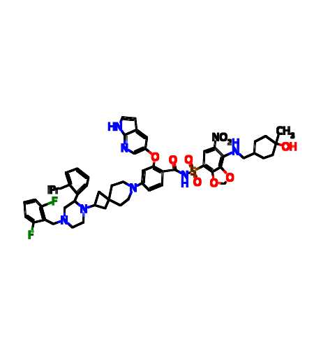 CC(C)c1ccccc1C1CN(Cc2c(F)cccc2F)CCN1C1CC2(CCN(c3ccc(C(=O)NS(=O)(=O)c4cc([N+](=O)[O-])c(NCC5CCC(C)(O)CC5)c5c4OCO5)c(Oc4cnc5[nH]ccc5c4)c3)CC2)C1